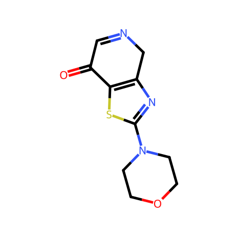 O=C1C=NCc2nc(N3CCOCC3)sc21